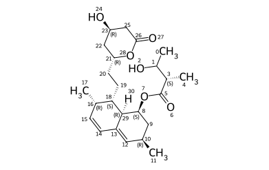 CC(O)[C@H](C)C(=O)O[C@H]1C[C@@H](C)C=C2C=C[C@H](C)[C@H](CC[C@@H]3C[C@@H](O)CC(=O)O3)[C@H]21